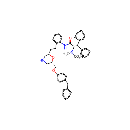 CN(C(=O)O)[C@H](C(=O)Nc1ccccc1CC[C@@H]1CNC[C@@H](COc2ccc(Cc3ccccc3)cc2)O1)C(c1ccccc1)c1ccccc1